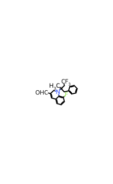 C[C@](Cc1ccccc1)(CC(F)(F)F)N1CC(C=O)=Cc2cccc(F)c21